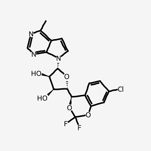 Cc1ncnc2c1ccn2[C@@H]1O[C@H]([C@@H]2OC(F)(F)Oc3cc(Cl)ccc32)[C@@H](O)[C@H]1O